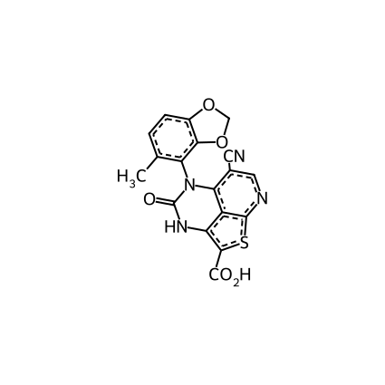 Cc1ccc2c(c1N1C(=O)Nc3c(C(=O)O)sc4ncc(C#N)c1c34)OCO2